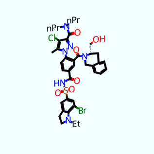 CCCN(CCC)C(=O)c1nn(-c2ccc(C(=O)NS(=O)(=O)c3cc(Br)c4c(c3)CCN4CC)cc2C(=O)N2Cc3ccccc3C[C@H]2CO)c(C)c1Cl